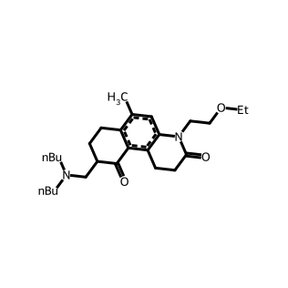 CCCCN(CCCC)CC1CCc2c(C)cc3c(c2C1=O)CCC(=O)N3CCOCC